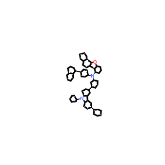 c1ccc(-c2ccc3c(c2)c2cc(-c4cccc(N(c5ccc(-c6cccc7ccccc67)cc5)c5cccc6oc7c8ccccc8ccc7c56)c4)ccc2n3-c2ccccc2)cc1